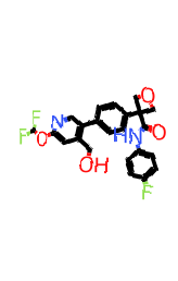 O=C(Nc1ccc(F)cc1)C1(c2ccc(-c3cnc(OC(F)F)cc3CO)cc2)COC1